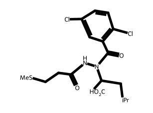 CSCCC(=O)NN(C(=O)c1cc(Cl)ccc1Cl)C(CC(C)C)C(=O)O